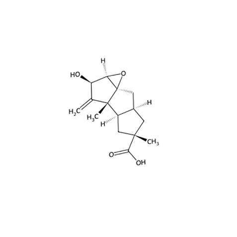 C=C1[C@@H](O)[C@H]2O[C@]23C[C@H]2C[C@](C)(C(=O)O)C[C@H]2[C@]13C